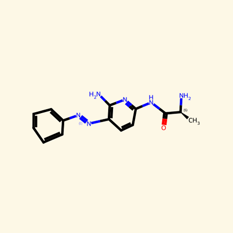 C[C@H](N)C(=O)Nc1ccc(/N=N/c2ccccc2)c(N)n1